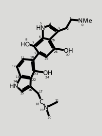 CNCCc1c[nH]c2c(O)c(-c3ccc4[nH]cc(CCN(C)C)c4c3O)cc(O)c12